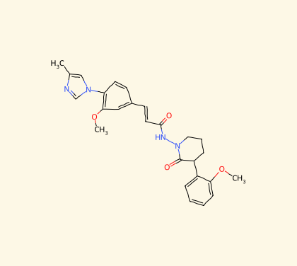 COc1ccccc1C1CCCN(NC(=O)C=Cc2ccc(-n3cnc(C)c3)c(OC)c2)C1=O